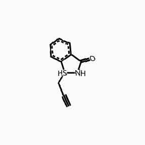 C#CC[SH]1NC(=O)c2ccccc21